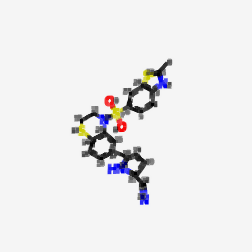 Cc1nc2ccc(S(=O)(=O)N3CCSc4ccc(-c5ccc(C#N)[nH]5)cc43)cc2s1